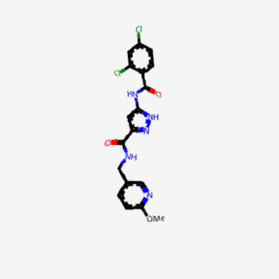 COc1ccc(CNC(=O)c2cc(NC(=O)c3ccc(Cl)cc3Cl)[nH]n2)cn1